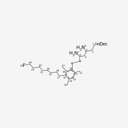 CCCCCCCCCCCCC(N)CC(N)CCc1c(C)cc(C)c(CCCCCCCCF)c1C